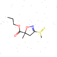 CCCOC(=O)C1(C)CC(S(C)=S)=NO1